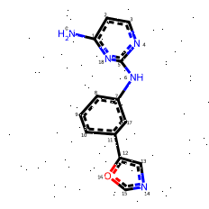 Nc1ccnc(Nc2cccc(-c3cnco3)c2)n1